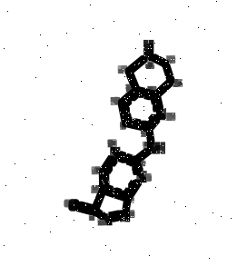 O=C1N=Nc2nc(Nc3ccc4c(n3)CCNC4)ncc21